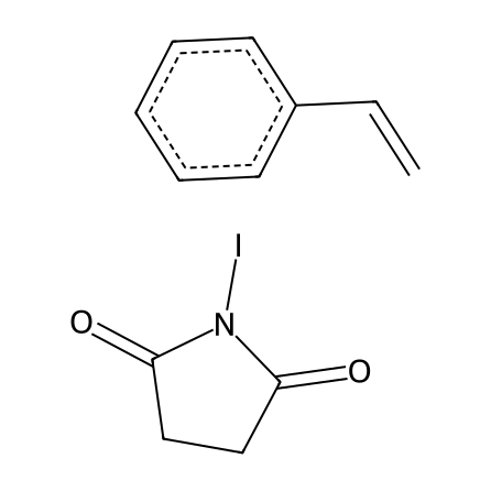 C=Cc1ccccc1.O=C1CCC(=O)N1I